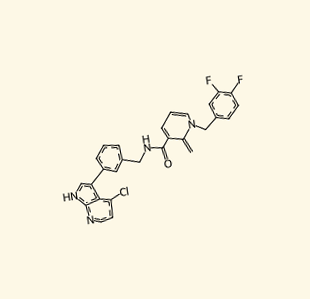 C=C1C(C(=O)NCc2cccc(-c3c[nH]c4nccc(Cl)c34)c2)=CC=CN1Cc1ccc(F)c(F)c1